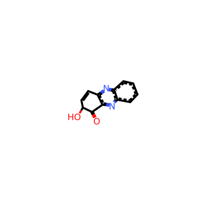 O=C1c2nc3ccccc3nc2C=CC1O